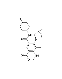 CNc1c([N+](=O)[O-])cc(C(=O)N[C@H]2CC[C@H](C)CC2)c(N2CC3CC3C2)c1C